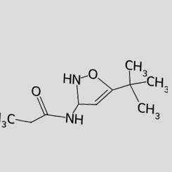 CCC(=O)NC1C=C(C(C)(C)C)ON1